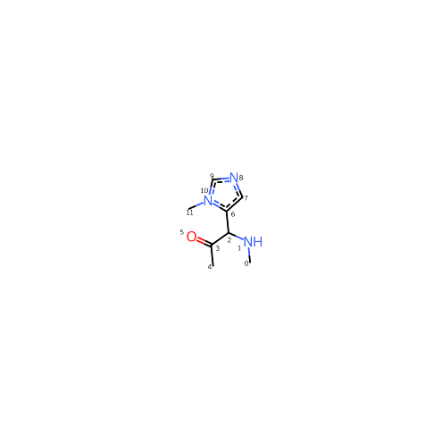 CNC(C(C)=O)c1cncn1C